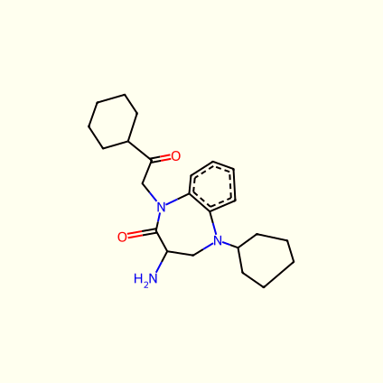 NC1CN(C2CCCCC2)c2ccccc2N(CC(=O)C2CCCCC2)C1=O